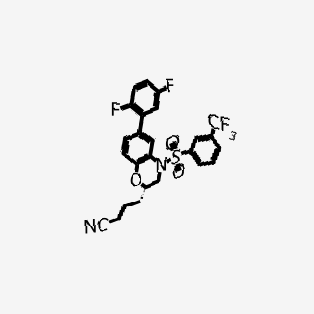 N#CCCC[C@H]1CN(S(=O)(=O)c2cccc(C(F)(F)F)c2)c2cc(-c3cc(F)ccc3F)ccc2O1